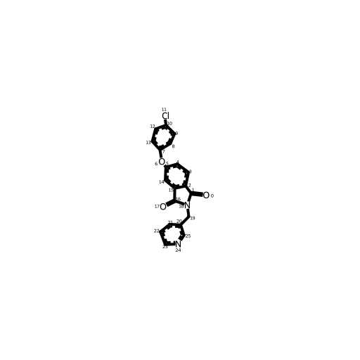 O=C1c2ccc(Oc3ccc(Cl)cc3)cc2C(=O)N1Cc1cccnc1